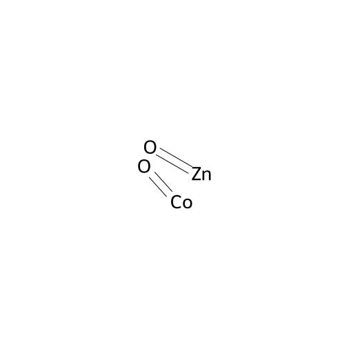 [O]=[Co].[O]=[Zn]